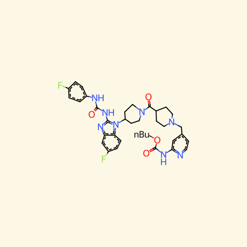 CCCCOC(=O)Nc1cc(CN2CCC(C(=O)N3CCC(n4c(NC(=O)Nc5ccc(F)cc5)nc5cc(F)ccc54)CC3)CC2)ccn1